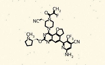 C=C(F)C(=O)N1CCN(c2nc(OC[C@@H]3CCCN3C)nc3cc(-c4nc(N)cc(C#N)c4C(F)(F)F)c4c(c23)OCC4)C[C@@H]1CC#N